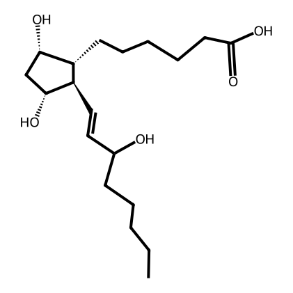 CCCCCC(O)/C=C/[C@@H]1[C@@H](CCCCCC(=O)O)[C@@H](O)C[C@H]1O